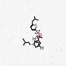 CC(C)CC[C@H]1C[C@H]2CC([Si](C)(C)O[Si](C)(C)c3ccc(CC(C)C)s3)[C@@H]1C2